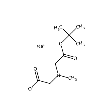 CN(CC(=O)[O-])CC(=O)OC(C)(C)C.[Na+]